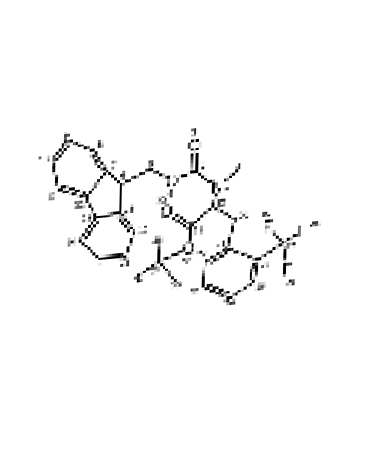 CN(C(=O)OCC1c2ccccc2-c2ccccc21)C(Cc1ccccc1C(F)(F)F)C(=O)OC(C)(C)C